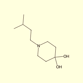 CC(C)CCN1CCC(O)(O)CC1